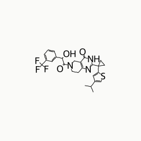 CC(C)c1csc(C2(c3nc4c(c(=O)[nH]3)CN(C(=O)[C@H](O)c3cccc(C(F)(F)F)c3)CC4)CC2)c1